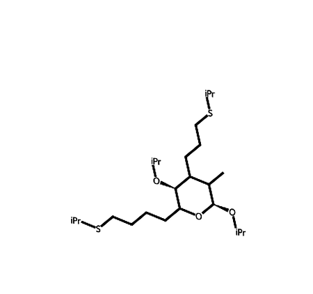 CC(C)O[C@H]1OC(CCCCSC(C)C)[C@@H](OC(C)C)C(CCCSC(C)C)C1C